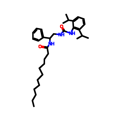 CCCCCCCCCCCC(=O)NC(CNC(=O)Nc1c(C(C)C)cccc1C(C)C)c1ccccc1